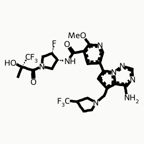 COc1ncc(-c2cc(CN3CCC(C(F)(F)F)C3)c3c(N)ncnn23)cc1C(=O)N[C@@H]1CN(C(=O)[C@@](C)(O)C(F)(F)F)C[C@@H]1F